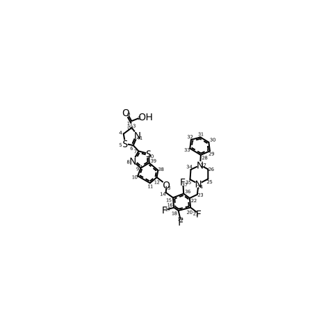 O=C(O)[C@H]1CSC(c2nc3ccc(OCc4c(F)c(F)c(F)c(CN5CCN(c6ccccc6)CC5)c4F)cc3s2)=N1